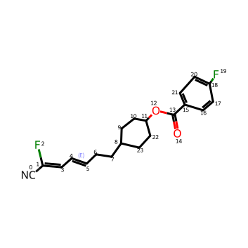 N#CC(F)=C/C=C/CCC1CCC(OC(=O)c2ccc(F)cc2)CC1